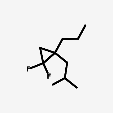 CCCC1(CC(C)C)CC1(F)F